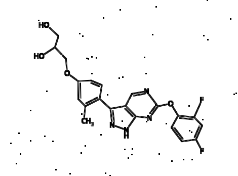 Cc1cc(OCC(O)CO)ccc1-c1n[nH]c2nc(Oc3ccc(F)cc3F)ncc12